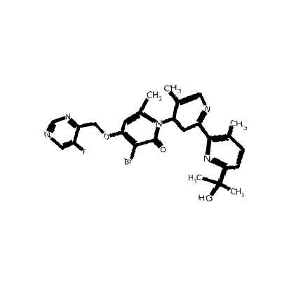 CC1=CN=C(c2nc(C(C)(C)O)ccc2C)CC1n1c(C)cc(OCc2ncncc2F)c(Br)c1=O